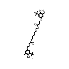 Cc1cc(SCCC(=O)OCCCCCCOC(=O)CCSc2cc(C)c(N)c(C(C)(C)C)c2)cc(C(C)(C)C)c1N